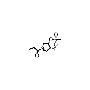 CCC(=O)N1C[C@@H](F)[C@H](OS(C)(=O)=O)C1